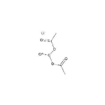 CC(=O)OB([O-])OC(C)=O.[Li+]